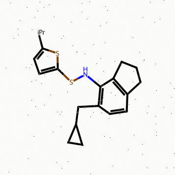 CC(C)c1ccc(SNc2c(CC3CC3)ccc3c2CCC3)s1